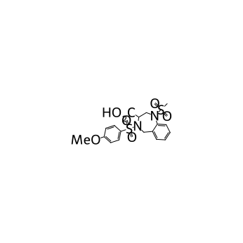 COc1ccc(S(=O)(=O)N2Cc3ccccc3N(S(C)(=O)=O)CC2C(=O)O)cc1